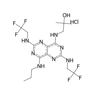 CCCNc1nc(NCC(F)(F)F)nc2c(NCC(C)(C)O)nc(NCC(F)(F)F)nc12.Cl